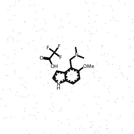 COc1ccc2[nH]ccc2c1CN(C)C.O=C(O)C(F)(F)F